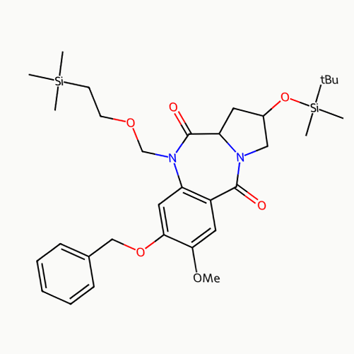 COc1cc2c(cc1OCc1ccccc1)N(COCC[Si](C)(C)C)C(=O)C1CC(O[Si](C)(C)C(C)(C)C)CN1C2=O